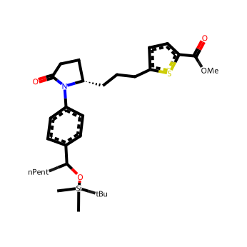 CCCCCC(O[Si](C)(C)C(C)(C)C)c1ccc(N2C(=O)CC[C@@H]2CCCc2ccc(C(=O)OC)s2)cc1